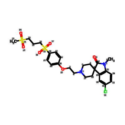 CN1C(=O)C2(CCN(CCOc3ccc(S(=O)(=O)CCCS(C)(=O)=O)cc3)CC2)c2cc(Cl)ccc21